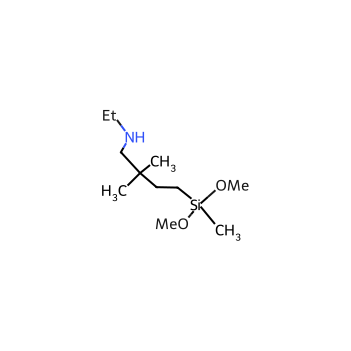 CCNCC(C)(C)CC[Si](C)(OC)OC